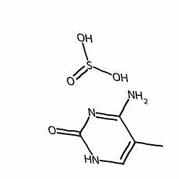 Cc1c[nH]c(=O)nc1N.O=S(O)O